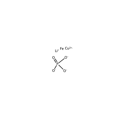 O=P([O-])([O-])[O-].[Cu+2].[Fe].[Li+]